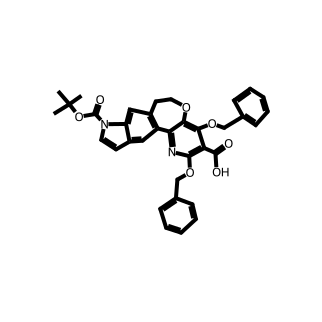 CC(C)(C)OC(=O)n1ccc2cc3c(cc21)CCOc1c-3nc(OCc2ccccc2)c(C(=O)O)c1OCc1ccccc1